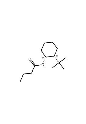 CCCC(=O)O[C@@H]1CCCC[C@@H]1C(C)(C)C